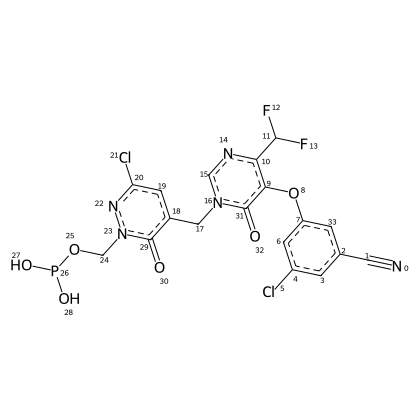 N#Cc1cc(Cl)cc(Oc2c(C(F)F)ncn(Cc3cc(Cl)nn(COP(O)O)c3=O)c2=O)c1